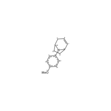 COc1ccc(N2C3C=CCC2CC3)cc1